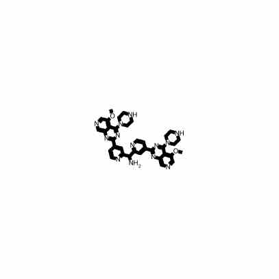 COc1cncc2nc(-c3ccnc(C(N)c4cc(-c5nc(N6CCNCC6)c6c(OC)cncc6n5)ccn4)c3)nc(N3CCNCC3)c12